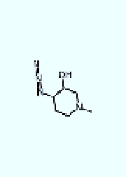 CN1CCC(N=[N+]=[N-])C(O)C1